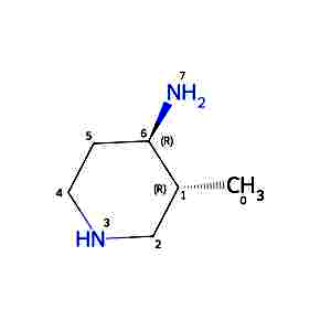 C[C@@H]1CNCC[C@H]1N